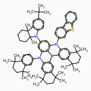 CC(C)(C)c1ccc2c(c1)C1(C)CCCCC1(C)N2c1cc2c3c(c1)N(c1ccc4c(c1)sc1ccccc14)c1cc4c(cc1B3c1cc3c(cc1N2c1ccc2c(c1)C(C)(C)CCC2(C)C)C(C)(C)CCC3(C)C)C(C)(C)CCC4(C)C